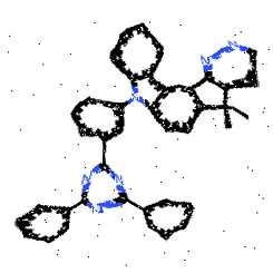 CC1(C)c2ccnnc2-c2c1ccc1c2c2ccccc2n1-c1cccc(-c2nc(-c3ccccc3)nc(-c3ccccc3)n2)c1